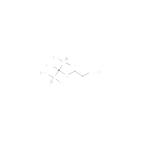 CC(NCCC(=O)O)(P(=O)(O)O)P(=O)(O)O